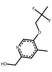 Cc1cc(CO)ncc1OCC(C)(F)F